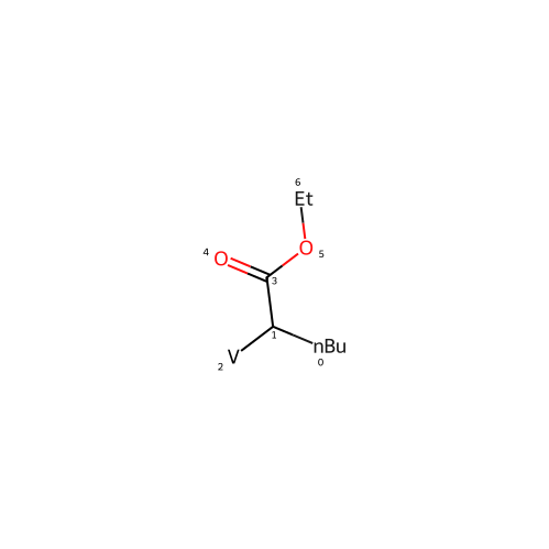 CCCC[CH]([V])C(=O)OCC